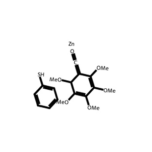 COC1=C(OC)C(OC)=C(OC)C(OC)C1=C=O.Sc1ccccc1.[Zn]